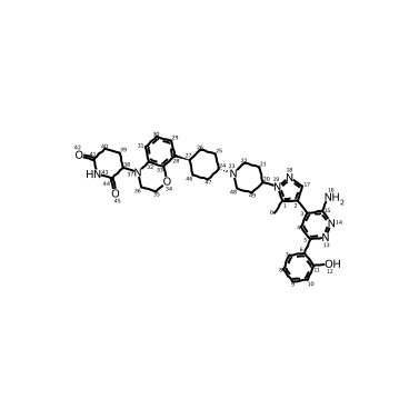 Cc1c(-c2cc(-c3ccccc3O)nnc2N)cnn1C1CCN([C@H]2CC[C@H](c3cccc4c3OCCN4C3CCC(=O)NC3=O)CC2)CC1